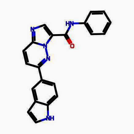 O=C(Nc1ccccc1)c1cnc2ccc(-c3ccc4[nH]ccc4c3)nn12